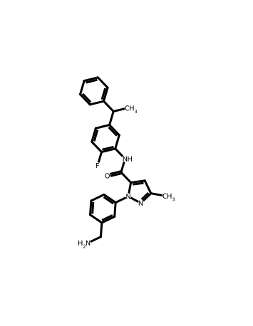 Cc1cc(C(=O)Nc2cc(C(C)c3ccccc3)ccc2F)n(-c2cccc(CN)c2)n1